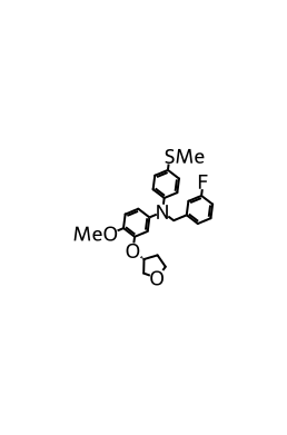 COc1ccc(N(Cc2cccc(F)c2)c2ccc(SC)cc2)cc1O[C@@H]1CCOC1